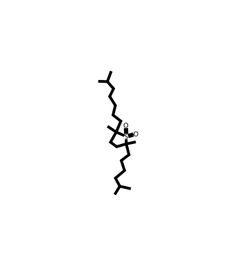 CC(C)CCCCCC1(C)CCC(C)(CCCCC(C)C)S1(=O)=O